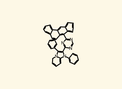 C1=CCN2C(=C1)N(c1ccccc1)C(c1ncnc(-c3c4ccccc4cc4c3ccc3ccccc34)n1)=C2c1ccccc1